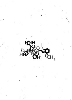 COc1cccc2[nH]c(C(=O)N3C[C@@H]4CCC[C@@H]4[C@H]3C(=O)N[C@@H](C[C@@H]3CCNC3=O)C(=O)c3cnc[nH]3)cc12